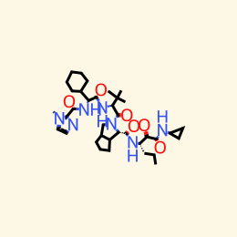 CCC[C@H](NC(=O)[C@@H]1C2CCCC2CN1C(=O)[C@@H](NC(=O)[C@@H](NC(=O)c1nccn1C)C1CCCCC1)C(C)(C)C)C(=O)C(=O)NC1CC1